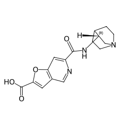 O=C(N[C@H]1CN2CCC1CC2)c1cc2oc(C(=O)O)cc2cn1